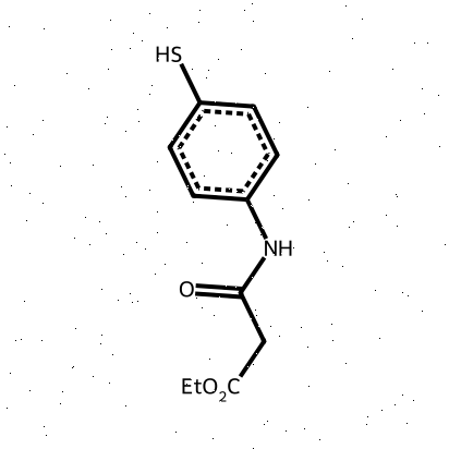 CCOC(=O)CC(=O)Nc1ccc(S)cc1